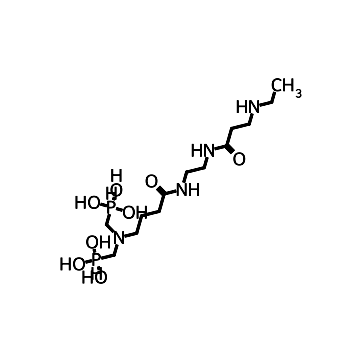 CCNCCC(=O)NCCNC(=O)CCCN(C[PH](O)(O)O)C[PH](O)(O)O